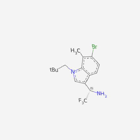 Cc1c(Br)ccc2c([C@H](N)C(F)(F)F)cn(CC(C)(C)C)c12